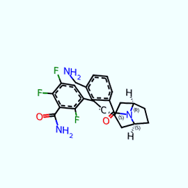 NCc1cccc(C(=O)N2[C@@H]3CC[C@H]2C[C@H]([CH]Cc2cc(F)c(F)c(C(N)=O)c2F)C3)c1